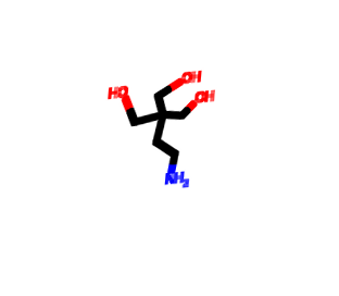 NCCC(CO)(CO)CO